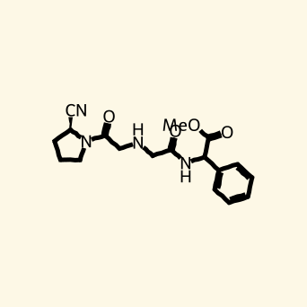 COC(=O)C(NC(=O)CNCC(=O)N1CCC[C@H]1C#N)c1ccccc1